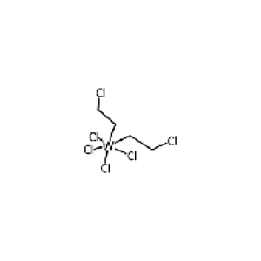 ClC[CH2][W]([Cl])([Cl])([Cl])([Cl])[CH2]CCl